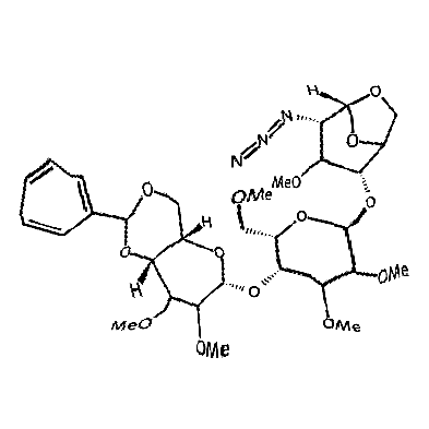 COC[C@@H]1O[C@@H](O[C@H]2C3CO[C@H](O3)[C@@H](N=[N+]=[N-])C2OC)C(OC)C(OC)[C@@H]1O[C@H]1O[C@H]2COC(c3ccccc3)O[C@H]2C(OC)C1OC